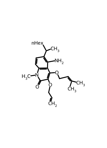 C=CCOc1c(OCC=C(C)C)c2c(N)c(C(C)CCCCCC)ccc2n(C)c1=O